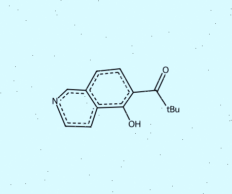 CC(C)(C)C(=O)c1ccc2cnccc2c1O